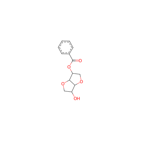 O=C(OC1COC2C(O)COC12)c1ccccc1